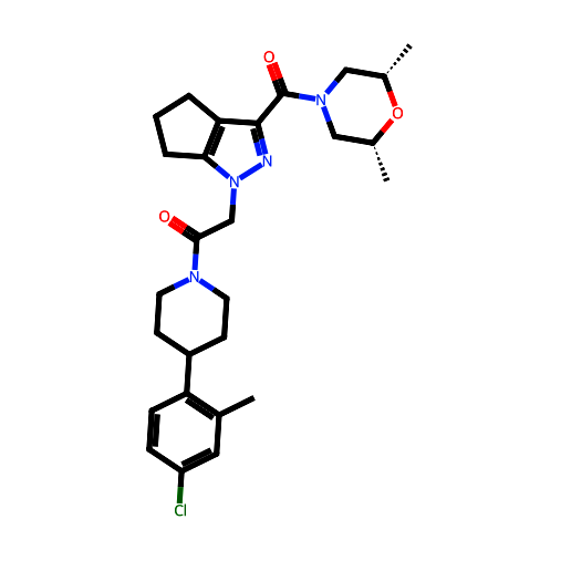 Cc1cc(Cl)ccc1C1CCN(C(=O)Cn2nc(C(=O)N3C[C@@H](C)O[C@@H](C)C3)c3c2CCC3)CC1